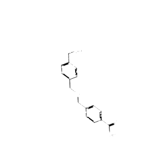 O=C(O)c1ccc(COCc2ccc(CO)cc2)cc1